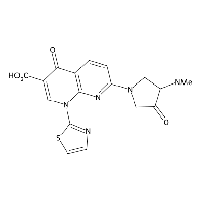 CNC1CN(c2ccc3c(=O)c(C(=O)O)cn(-c4nccs4)c3n2)CC1=O